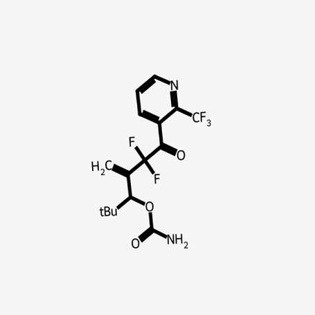 C=C(C(OC(N)=O)C(C)(C)C)C(F)(F)C(=O)c1cccnc1C(F)(F)F